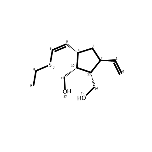 C=C[C@@H]1C[C@@H](/C=C\SCC)[C@@H](CO)[C@H]1CO